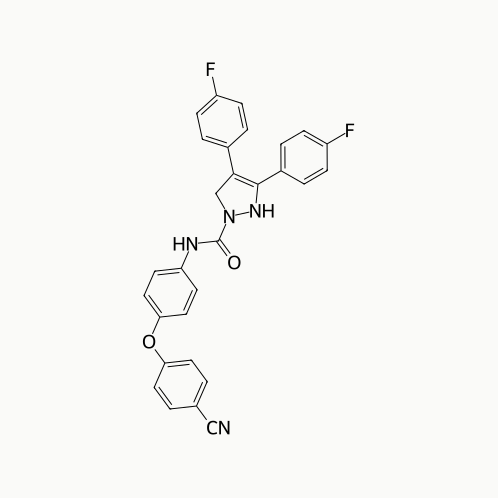 N#Cc1ccc(Oc2ccc(NC(=O)N3CC(c4ccc(F)cc4)=C(c4ccc(F)cc4)N3)cc2)cc1